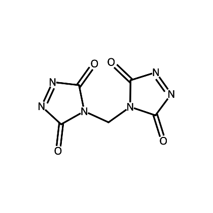 O=C1N=NC(=O)N1CN1C(=O)N=NC1=O